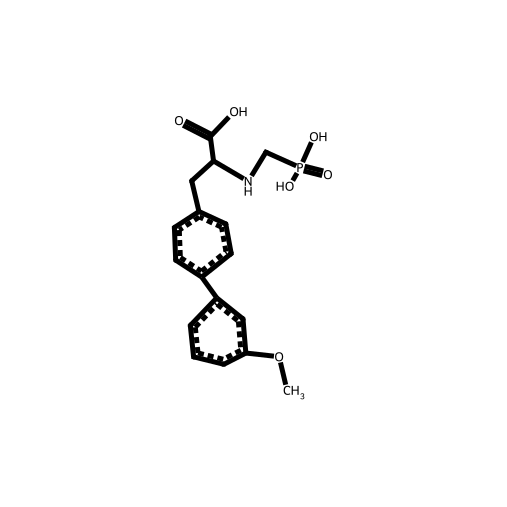 COc1cccc(-c2ccc(CC(NCP(=O)(O)O)C(=O)O)cc2)c1